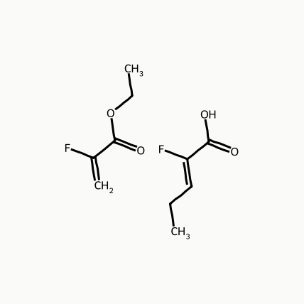 C=C(F)C(=O)OCC.CCC=C(F)C(=O)O